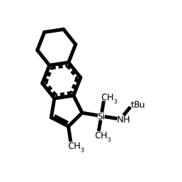 CC1=Cc2cc3c(cc2C1[Si](C)(C)NC(C)(C)C)CCCC3